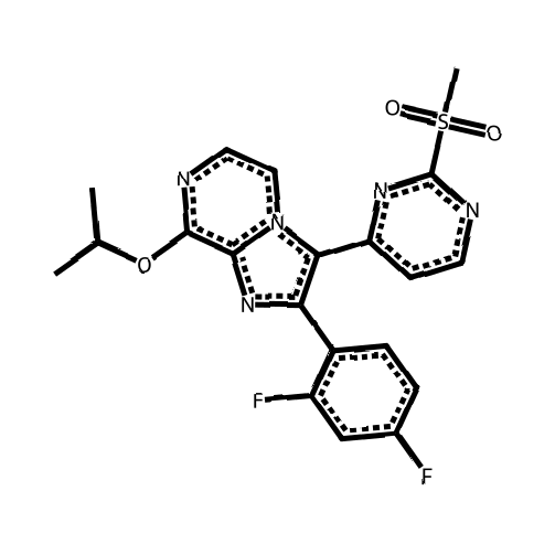 CC(C)Oc1nccn2c(-c3ccnc(S(C)(=O)=O)n3)c(-c3ccc(F)cc3F)nc12